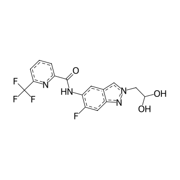 O=C(Nc1cc2cn(CC(O)O)nc2cc1F)c1cccc(C(F)(F)F)n1